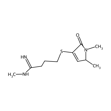 CNC(=N)CCCSC1=CC(C)N(C)C1=O